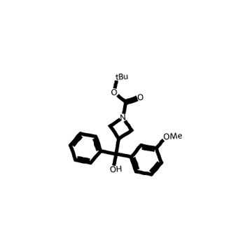 COc1cccc(C(O)(c2ccccc2)C2CN(C(=O)OC(C)(C)C)C2)c1